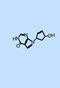 O=c1[nH]cnc2c1ccn2[C@H]1C=C[C@@H](O)C1